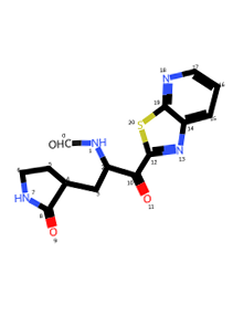 O=CNC(CC1CCNC1=O)C(=O)c1nc2cccnc2s1